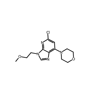 COCCn1cnc2c(N3CCOCC3)cc(Cl)nc21